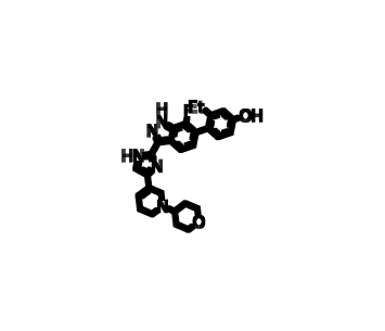 CCc1cc(O)ccc1-c1ccc2c(-c3nc(C4=CCCN(C5CCOCC5)C4)c[nH]3)n[nH]c2c1F